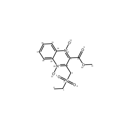 CCS(=O)(=O)Cc1c(C(=O)OC)[n+]([O-])c2ccccc2[n+]1[O-]